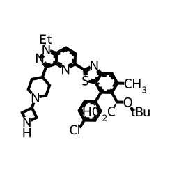 CCn1nc(C2CCN(C3CNC3)CC2)c2nc(-c3nc4cc(C)c([C@H](OC(C)(C)C)C(=O)O)c(-c5ccc(Cl)cc5)c4s3)ccc21